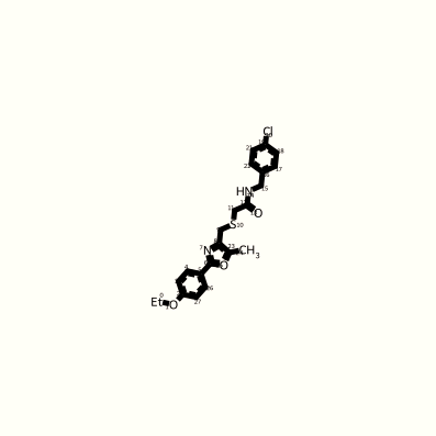 CCOc1ccc(-c2nc(CSCC(=O)NCc3ccc(Cl)cc3)c(C)o2)cc1